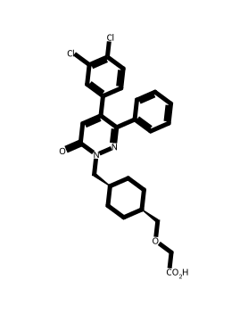 O=C(O)COC[C@H]1CC[C@@H](Cn2nc(-c3ccccc3)c(-c3ccc(Cl)c(Cl)c3)cc2=O)CC1